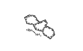 CCCCN.c1ccc2cc3ccccc3cc2c1